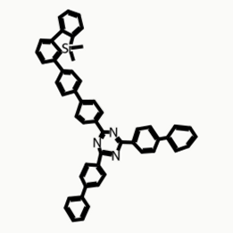 C[Si]1(C)c2ccccc2-c2cccc(-c3ccc(-c4ccc(-c5nc(-c6ccc(-c7ccccc7)cc6)nc(-c6ccc(-c7ccccc7)cc6)n5)cc4)cc3)c21